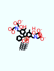 Cc1cc(C2(c3cc(C)c(O)c(CN(CC(=O)[O-])CC(=O)[O-])c3)c3ccccc3OS2(=O)=O)cc(CN(CC(=O)[O-])CC(=O)[O-])c1O.[Na+].[Na+].[Na+].[Na+]